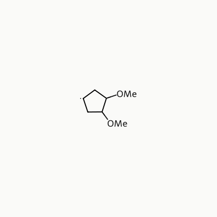 COC1C[CH]CC1OC